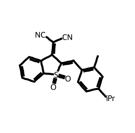 Cc1cc(C(C)C)ccc1/C=C1/C(=C(C#N)C#N)c2ccccc2S1(=O)=O